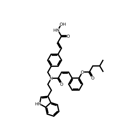 CC(C)CC(=O)Oc1ccccc1/C=C\C(=O)N(CCc1c[nH]c2ccccc12)Cc1ccc(/C=C/C(=O)NO)cc1